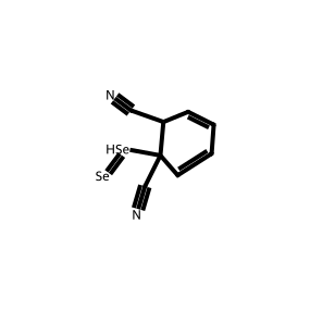 N#CC1C=CC=CC1(C#N)[SeH]=[Se]